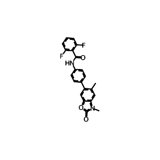 Cc1cc2c(cc1-c1ccc(NC(=O)c3c(F)cccc3F)cc1)oc(=O)n2C